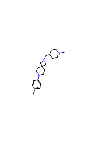 CN1CCC(CN2CC3(CCN(c4ccc(I)cc4)CC3)C2)CC1